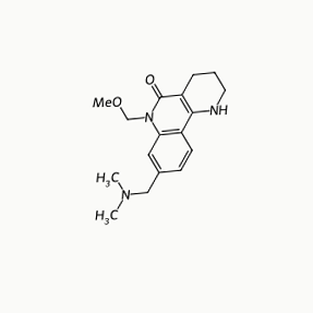 COCn1c(=O)c2c(c3ccc(CN(C)C)cc31)NCCC2